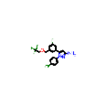 Nc1cc(-c2cc(F)cc(COCC(F)(F)F)c2)n(-c2ccc(Cl)cc2)n1